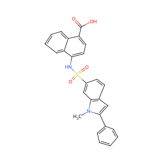 Cn1c(-c2ccccc2)cc2ccc(S(=O)(=O)Nc3ccc(C(=O)O)c4ccccc34)cc21